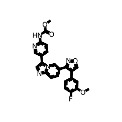 COC(=O)Nc1ccc(-c2cnc3ccc(-c4nocc4-c4ccc(F)c(OC)c4)cn23)cn1